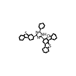 c1ccc(C2N=C(c3ccc4c(c3)sc3ccccc34)N=C(c3cc4c5ccccc5sc4c4c3oc3ccccc34)N2)cc1